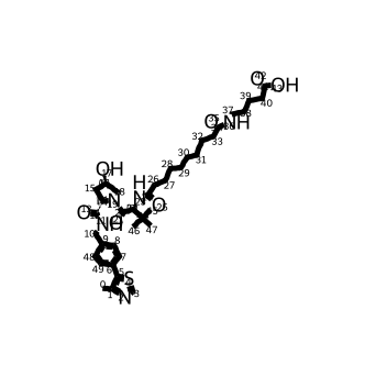 Cc1ncsc1-c1ccc(CNC(=O)[C@@H]2C[C@@H](O)CN2C(=O)[C@@H](NC(=O)CCCCCCCCC(=O)NCCCCC(=O)O)C(C)(C)C)cc1